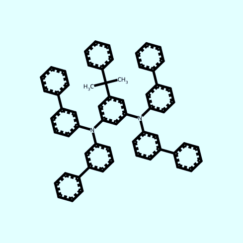 CC(C)(c1ccccc1)c1cc(N(c2cccc(-c3ccccc3)c2)c2cccc(-c3ccccc3)c2)cc(N(c2cccc(-c3ccccc3)c2)c2cccc(-c3ccccc3)c2)c1